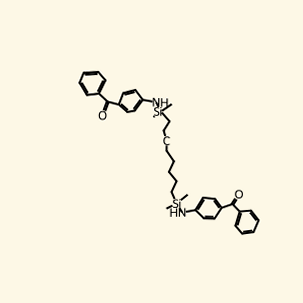 C[Si](C)(CCCCCCCC[Si](C)(C)Nc1ccc(C(=O)c2ccccc2)cc1)Nc1ccc(C(=O)c2ccccc2)cc1